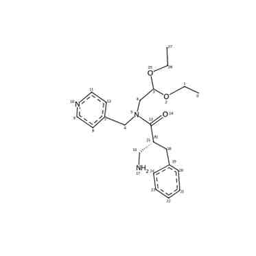 CCOC(CN(Cc1ccncc1)C(=O)[C@@H](CN)Cc1ccccc1)OCC